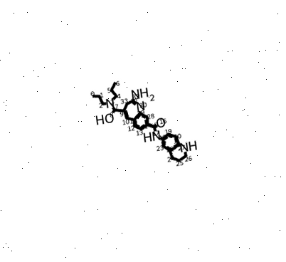 CCCN(CCC)C(O)C1=Cc2ccc(C(=O)Nc3ccc4c(c3)CCCN4)cc2N=C(N)C1